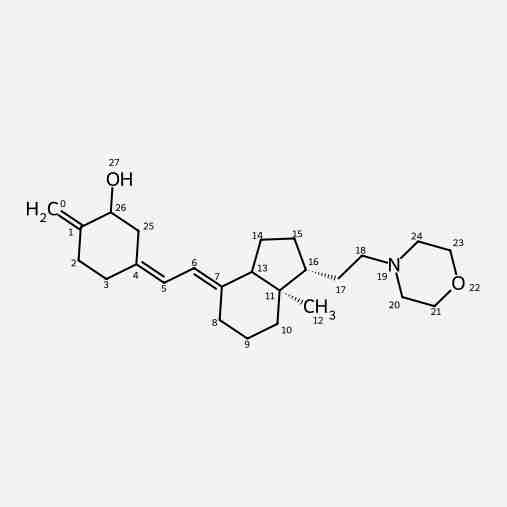 C=C1CC/C(=C/C=C2\CCC[C@@]3(C)C2CC[C@@H]3CCN2CCOCC2)CC1O